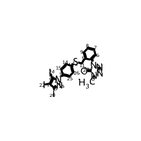 Cn1nnn(-c2ccccc2CSc2ccc(-n3nc(I)c(I)c3I)cc2)c1=O